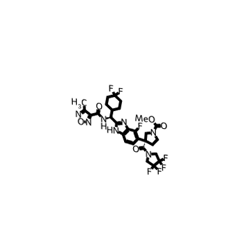 COC(=O)N1CC[C@@](C(=O)N2CC(F)(F)C(F)(F)C2)(c2ccc3[nH]c([C@@H](NC(=O)c4nonc4C)C4CCC(F)(F)CC4)nc3c2F)C1